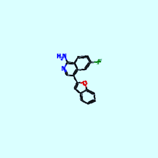 Nc1ncc(-c2cc3ccccc3o2)c2cc(F)ccc12